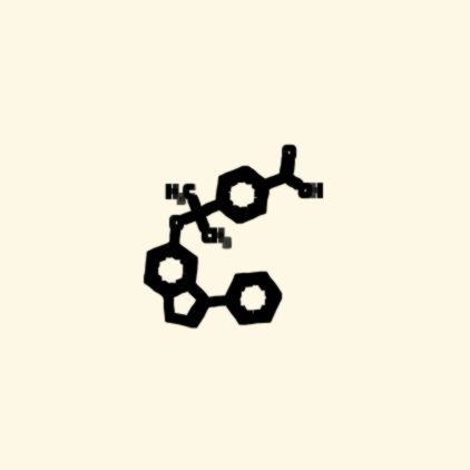 CC(C)(Oc1ccc2c(c1)C(c1ccccc1)=CC2)c1ccc(C(=O)O)cc1